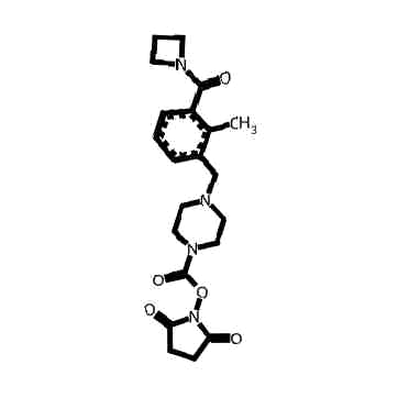 Cc1c(CN2CCN(C(=O)ON3C(=O)CCC3=O)CC2)cccc1C(=O)N1CCC1